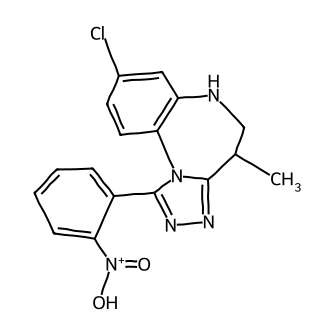 CC1CNc2cc(Cl)ccc2-n2c(-c3ccccc3[N+](=O)O)nnc21